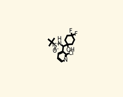 CC(C)(C)[S@+]([O-])NC(c1cccnc1Cl)C1(O)CCC(F)(F)CC1